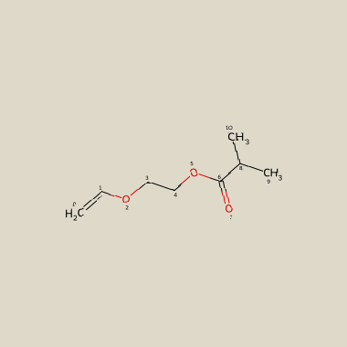 C=COCCOC(=O)C(C)C